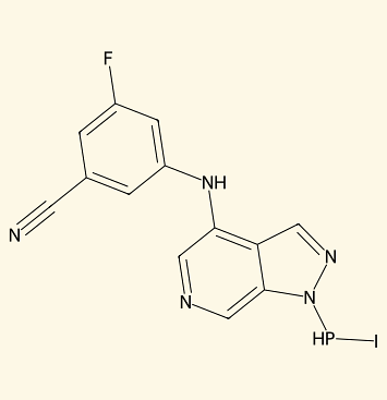 N#Cc1cc(F)cc(Nc2cncc3c2cnn3PI)c1